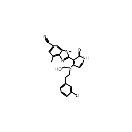 Cc1cc(C#N)cc2[nH]c(-c3c(N(CO)CCc4cccc(Cl)c4)cc[nH]c3=O)nc12